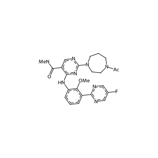 CNC(=O)c1cnc(N2CCCN(C(C)=O)CC2)nc1Nc1cccc(-c2ncc(F)cn2)c1OC